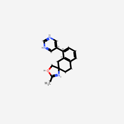 CC1=NC2(CCc3cccc(-c4cncnc4)c3C2)CO1